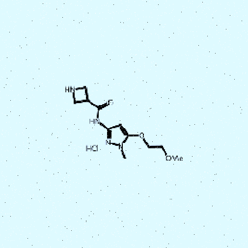 COCCOc1cc(NC(=O)C2CNC2)nn1C.Cl